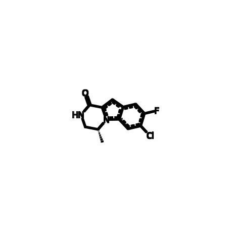 C[C@@H]1CNC(=O)c2cc3cc(F)c(Cl)cc3n21